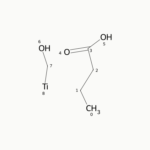 CCCC(=O)O.O[CH2][Ti]